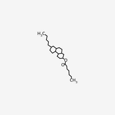 CCCCCCC(=O)OC1CCC2C(CCC3CC(CCCCC)CCC32)C1